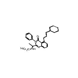 CC(NC(=O)O)c1nc2cccc(CCCC3CCCCC3)c2c(=O)n1-c1ccccc1